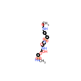 CNS(=O)(=O)c1cccc(OC[C@@H](O)CNC2COC3(CCN(S(=O)(=O)c4cccc(-c5ccc(CNCCOC)cc5)c4)CC3)C2)c1